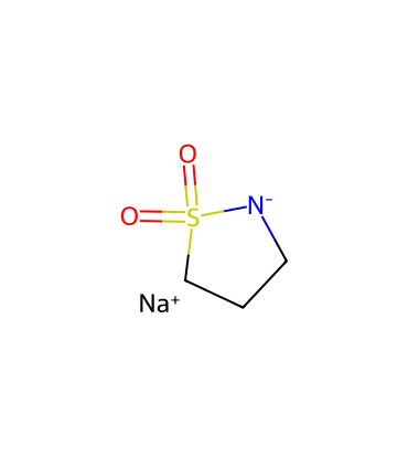 O=S1(=O)CCC[N-]1.[Na+]